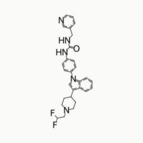 O=C(NCc1cccnc1)Nc1ccc(-n2cc(C3CCN(CC(F)F)CC3)c3ccccc32)cc1